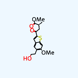 COC(=O)[C@@H](C)CC(=O)c1cc2cc(CCO)c(OC)cc2s1